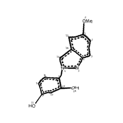 COc1ccc2nn(-c3ccc(O)cc3O)cc2c1